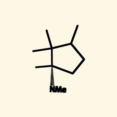 CN[C@@]1(C)CCC(C)C1(C)C